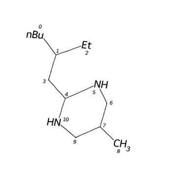 CCCCC(CC)CC1NCC(C)CN1